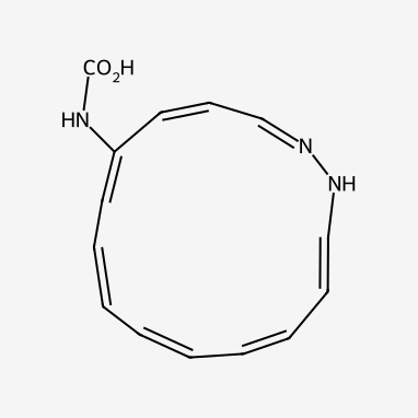 O=C(O)NC1=CC=CC=CC=CC=CNN=CC=C1